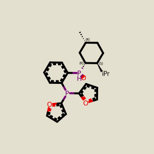 CC(C)[C@@H]1CC[C@@H](C)C[C@H]1[PH](=O)c1ccccc1P(c1ccco1)c1ccco1